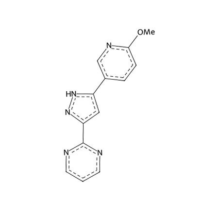 COc1ccc(-c2cc(-c3ncccn3)n[nH]2)cn1